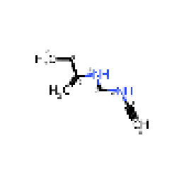 C#CNCNC(=C)CC